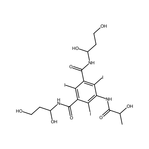 CC(O)C(=O)Nc1c(I)c(C(=O)NC(O)CCO)c(I)c(C(=O)NC(O)CCO)c1I